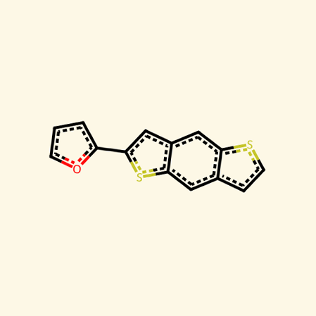 c1coc(-c2cc3cc4sccc4cc3s2)c1